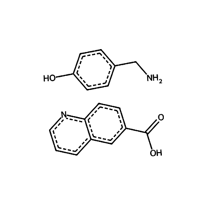 NCc1ccc(O)cc1.O=C(O)c1ccc2ncccc2c1